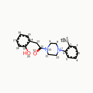 CC(C)(C)c1ccccc1N1CCN(C(=O)Cc2ccccc2O)CC1